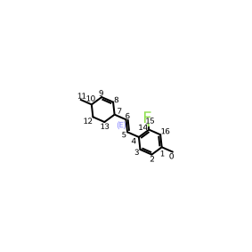 Cc1ccc(/C=C/C2C=CC(C)CC2)c(F)c1